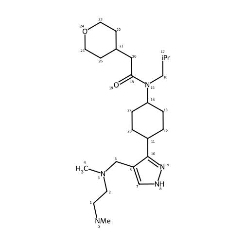 CNCCN(C)Cc1c[nH]nc1C1CCC(N(CC(C)C)C(=O)CC2CCOCC2)CC1